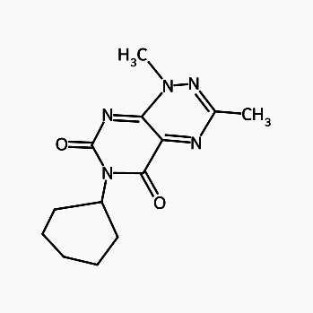 Cc1nc2c(=O)n(C3CCCCC3)c(=O)nc-2n(C)n1